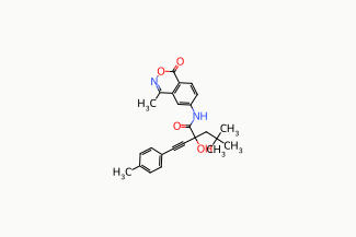 Cc1ccc(C#CC(O)(CC(C)(C)C)C(=O)Nc2ccc3c(=O)onc(C)c3c2)cc1